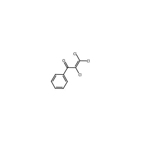 O=C(C(Cl)=C(Cl)Cl)c1ccccc1